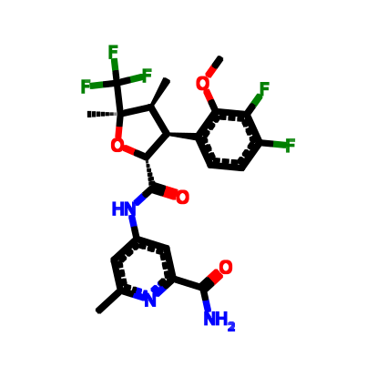 COc1c([C@H]2[C@H](C(=O)Nc3cc(C)nc(C(N)=O)c3)O[C@@](C)(C(F)(F)F)[C@H]2C)ccc(F)c1F